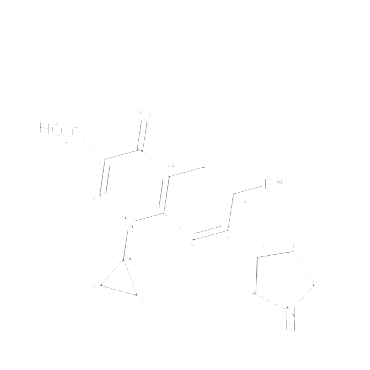 O=C(O)c1cn(C2CC2)c2cc(C3CCNC3)c(F)cc2c1=O